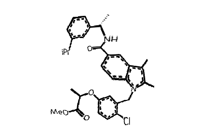 COC(=O)C(C)Oc1ccc(Cl)c(Cn2c(C)c(C)c3cc(C(=O)N[C@@H](C)c4cccc(C(C)C)c4)ccc32)c1